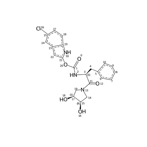 O=C(N[C@@H](Cc1ccccc1)C(=O)N1C[C@@H](O)[C@@H](O)C1)Oc1cc2cc(Cl)ccc2[nH]1